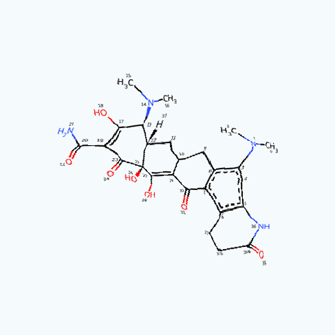 CN(C)c1cc2c(c3c1CC1C[C@H]4[C@H](N(C)C)C(O)=C(C(N)=O)C(=O)[C@@]4(O)C(O)=C1C3=O)CCC(=O)N2